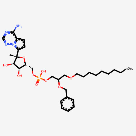 CCCCCCCCCCCCCCCCCCOCC(COP(=O)(O)OC[C@H]1O[C@@](C)(c2ccc3c(N)ncnn23)[C@H](O)[C@@H]1O)OCc1ccccc1